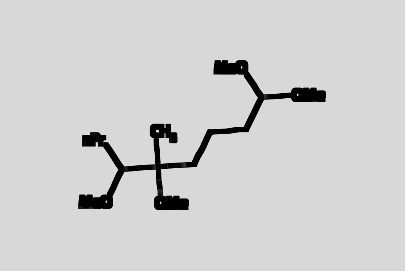 CCCC(OC)C(C)(CCCC(OC)OC)OC